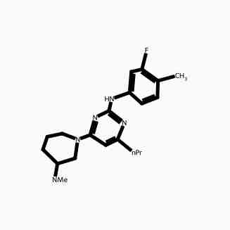 CCCc1cc(N2CCCC(NC)C2)nc(Nc2ccc(C)c(F)c2)n1